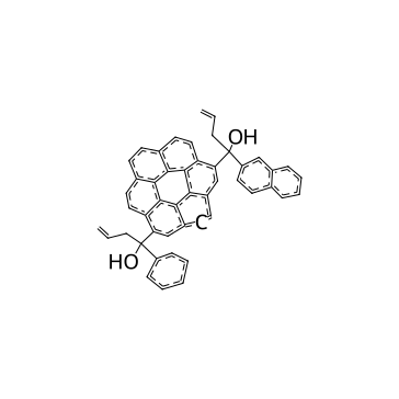 C=CCC(O)(c1ccccc1)c1cc2ccc3cc(C(O)(CC=C)c4ccc5ccccc5c4)c4ccc5ccc6ccc1c1c6c5c4c3c21